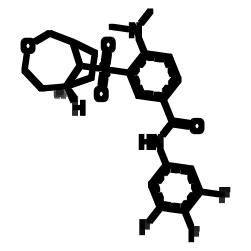 CN(C)c1ccc(C(=O)Nc2cc(F)c(F)c(F)c2)cc1S(=O)(=O)C1C2CC[C@@H]1CCOC2